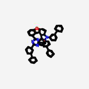 C1=CC2C(c3ccccc3N2c2cccc(-c3ccccc3)c2)c2c1oc1cccc(-c3nc(-c4cccc(-c5ccccc5)c4)nc(-c4cccc(-c5ccccc5)c4)n3)c21